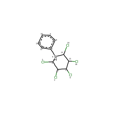 ClC1C(Cl)C(Cl)[SiH](c2ccccc2)C(Cl)C1Cl